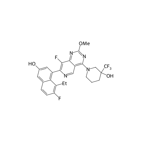 CCc1c(F)ccc2cc(O)cc(-c3ncc4c(N5CCCC(O)(C(F)(F)F)C5)nc(OC)nc4c3F)c12